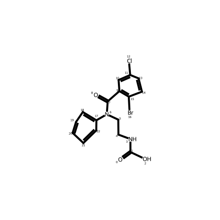 O=C(O)NCCN(C(=O)c1cc(Cl)ccc1Br)c1ccccc1